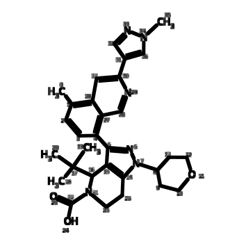 Cc1ccc(-c2nn(C3CCOCC3)c3c2C(C(C)(C)C)N(C(=O)O)CC3)c2cnc(-c3cnn(C)c3)cc12